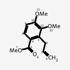 C=CCc1c(C(=O)OC)ccc(OC)c1OC